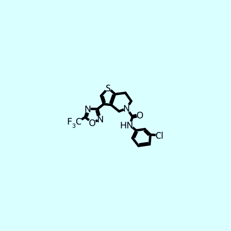 O=C(Nc1cccc(Cl)c1)N1CCc2scc(-c3noc(C(F)(F)F)n3)c2C1